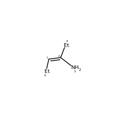 CCC=C(N)CC